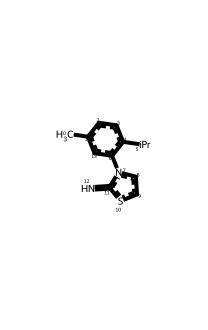 Cc1ccc(C(C)C)c(-n2ccsc2=N)c1